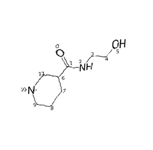 O=C(NCCO)C1CCC[N]C1